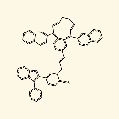 C=C(/C=C\c1ccccc1)C1=c2\ccc(/C=C/CC3C=C(c4nc5ccccc5n4-c4ccccc4)C=CC3=C)c\c2=C(c2ccc3ccccc3c2)\C=C\CC\C=C\1